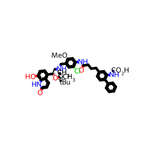 COc1cc(NC(=O)CCCc2ccc(-c3ccccc3)c(NC(=O)O)c2)c(Cl)cc1CNC[C@@H](O[Si](C)(C)C(C)(C)C)c1ccc(O)c2[nH]c(=O)ccc12